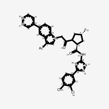 CC(=O)c1cn(CC(=O)C2C[C@H](F)C[C@H]2C(=O)Nc2nnc(-c3ccc(Cl)c(Cl)c3)s2)c2ccc(-c3ccnnc3)cc12